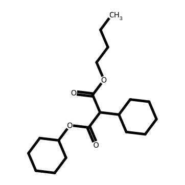 CCCCOC(=O)C(C(=O)OC1CCCCC1)C1CCCCC1